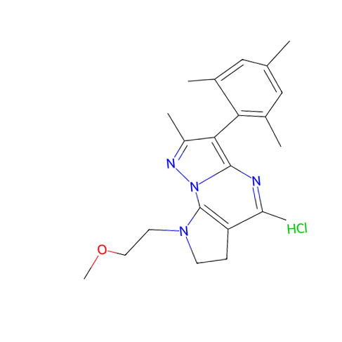 COCCN1CCc2c(C)nc3c(-c4c(C)cc(C)cc4C)c(C)nn3c21.Cl